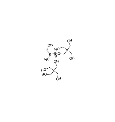 OCC(CO)(CO)CO.OCC(CO)(CO)CO.OOB(O)O